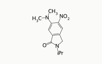 CC(C)N1Cc2cc([N+](=O)[O-])c(N(C)C)cc2C1=O